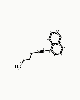 CCCCC#Cc1cccc2ccccc12